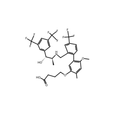 COc1cc(C)c(OCCCC(=O)O)cc1-c1ccc(C(F)(F)F)cc1CN[C@@H](C)[C@H](O)c1cc(C(F)(F)F)cc(C(F)(F)F)c1